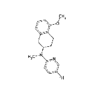 [2H]c1ccc(N(C)C2CCc3c(cccc3OC)C2)nc1